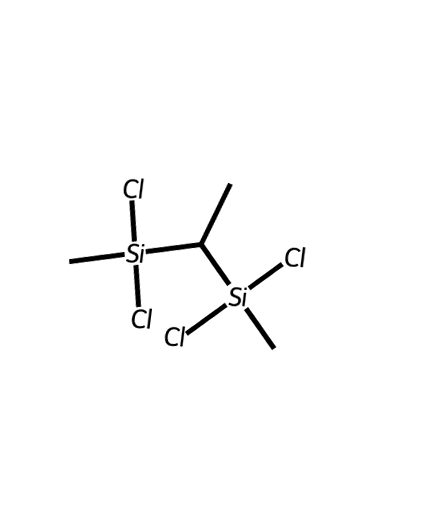 CC([Si](C)(Cl)Cl)[Si](C)(Cl)Cl